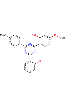 CCCCCCOc1ccc(-c2nc(-c3ccc(OC)cc3)nc(-c3ccccc3O)n2)c(O)c1